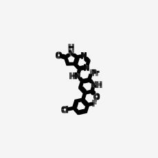 CC(C)c1[nH]c(=O)c(-c2cc(Cl)ccc2F)cc1Nc1ncnc2c1CC(=O)N2